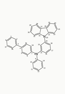 c1ccc(-c2ccc(N(c3ccccc3)c3cccc(-n4c5ccccc5c5ccccc54)c3)cc2)cc1